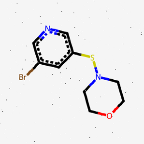 Brc1cncc(SN2CCOCC2)c1